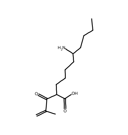 C=C(C)C(=O)C(CCCCC(N)CCCC)C(=O)O